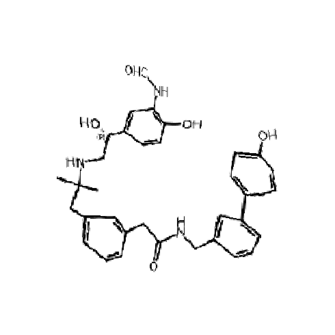 CC(C)(Cc1cccc(CC(=O)NCc2cccc(-c3ccc(O)cc3)c2)c1)NC[C@H](O)c1ccc(O)c(NC=O)c1